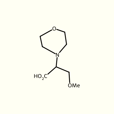 COCC(C(=O)O)N1CCOCC1